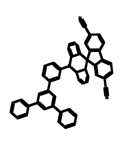 N#Cc1ccc2c(c1)C1(c3cc(C#N)ccc3-2)c2ccccc2N(c2cccc(-c3cc(-c4ccccc4)cc(-c4ccccc4)c3)c2)C2C=CC=CC21